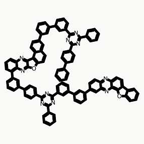 c1ccc(-c2ccc(-c3nc(-c4ccccc4)nc(-c4cccc(-c5cccc(-c6ccc7c(ccc8oc9nc%10c(-c%11cccc(-c%12ccc(-c%13nc(-c%14ccccc%14)nc(-c%14cccc(-c%15cccc(-c%16ccc%17nc%18ccc%19c%20ccccc%20oc%19c%18nc%17c%16)c%15)c%14)n%13)cc%12)c%11)cccc%10nc9c87)c6)c5)c4)n3)cc2)cc1